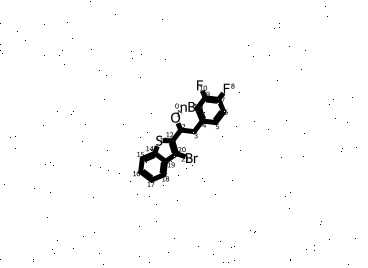 CCCCOC(Cc1ccc(F)c(F)c1)c1sc2ccccc2c1Br